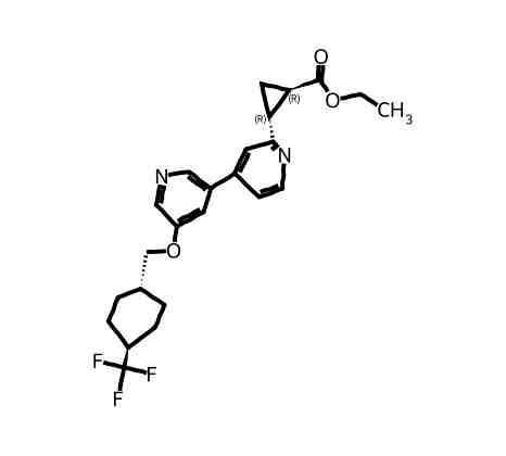 CCOC(=O)[C@@H]1C[C@H]1c1cc(-c2cncc(OC[C@H]3CC[C@H](C(F)(F)F)CC3)c2)ccn1